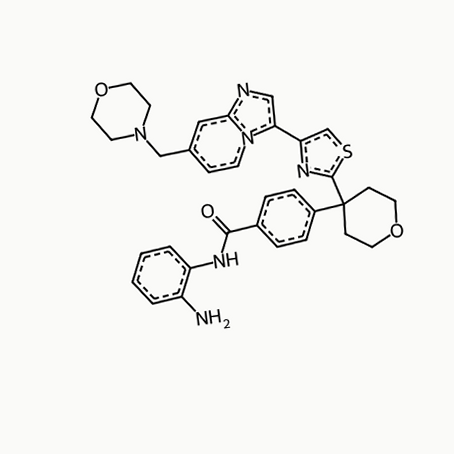 Nc1ccccc1NC(=O)c1ccc(C2(c3nc(-c4cnc5cc(CN6CCOCC6)ccn45)cs3)CCOCC2)cc1